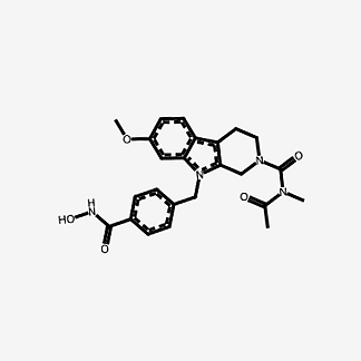 COc1ccc2c3c(n(Cc4ccc(C(=O)NO)cc4)c2c1)CN(C(=O)N(C)C(C)=O)CC3